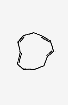 [C]1=C/CCC/C=C/C=C\C\C=C/1